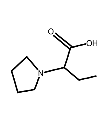 CCC(C(=O)O)N1CCCC1